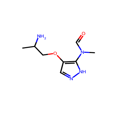 CC(N)COc1cn[nH]c1N(C)C=O